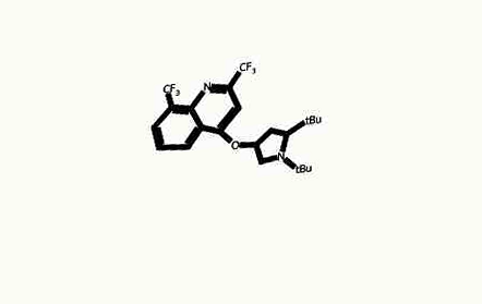 CC(C)(C)C1CC(Oc2cc(C(F)(F)F)nc3c(C(F)(F)F)cccc23)CN1C(C)(C)C